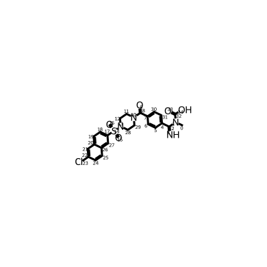 CN(C(=N)c1ccc(C(=O)N2CCN(S(=O)(=O)c3ccc4cc(Cl)ccc4c3)CC2)cc1)C(=O)O